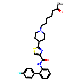 COC(=O)CCCCCN1CCC(c2nc(C(=O)Nc3ccccc3-c3ccc(F)cc3)cs2)CC1